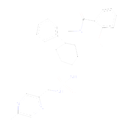 COc1ccccc1C(=O)NC[C@]1(c2ccccc2)CC[C@H](NS(=O)(=O)NCc2cnc(C)cn2)CC1